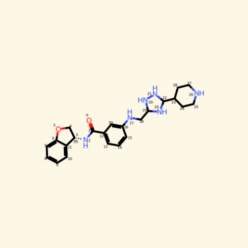 O=C(N[C@H]1COc2ccccc21)c1cccc(NCC2NNC(C3CCNCC3)N2)c1